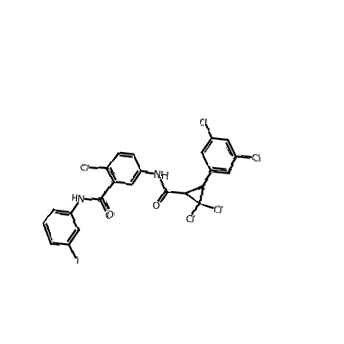 O=C(Nc1cccc(I)c1)c1cc(NC(=O)C2C(c3cc(Cl)cc(Cl)c3)C2(Cl)Cl)ccc1Cl